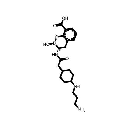 NCCCNC1CCC(CC(=O)N[C@H]2Cc3cccc(C(=O)O)c3OB2O)CC1